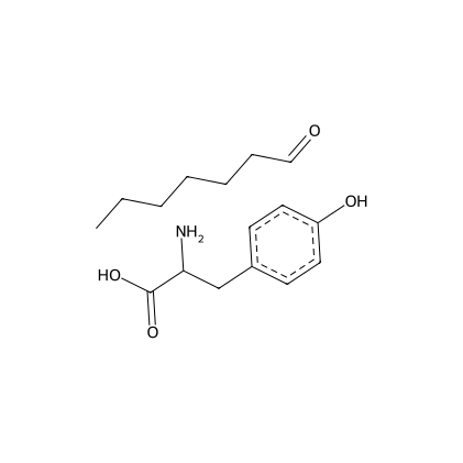 CCCCCCC=O.NC(Cc1ccc(O)cc1)C(=O)O